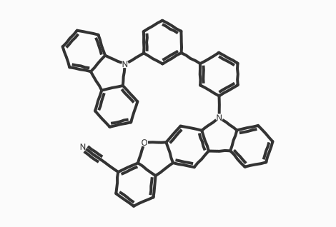 N#Cc1cccc2c1oc1cc3c(cc12)c1ccccc1n3-c1cccc(-c2cccc(-n3c4ccccc4c4ccccc43)c2)c1